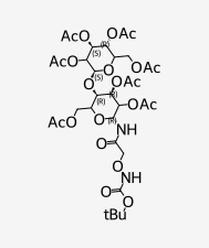 CC(=O)OCC1O[C@@H](O[C@@H]2C(COC(C)=O)O[C@@H](NC(=O)CONC(=O)OC(C)(C)C)C(OC(C)=O)[C@@H]2OC(C)=O)C(OC(C)=O)[C@@H](OC(C)=O)[C@@H]1OC(C)=O